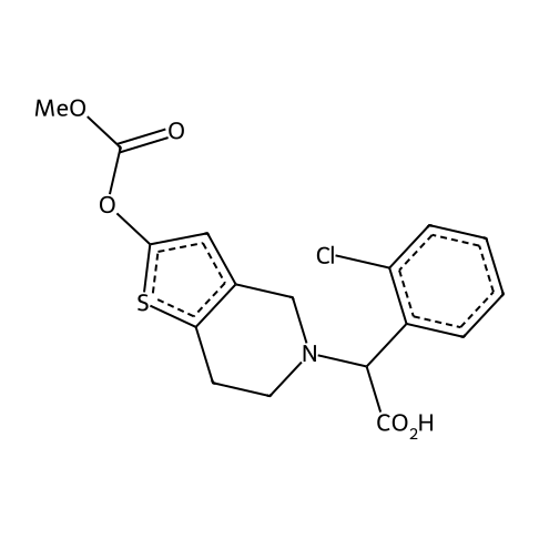 COC(=O)Oc1cc2c(s1)CCN(C(C(=O)O)c1ccccc1Cl)C2